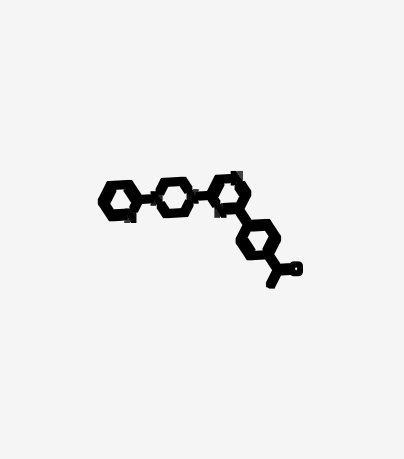 CC(=O)c1ccc(-c2cncc(N3CCN(c4ccccn4)CC3)n2)cc1